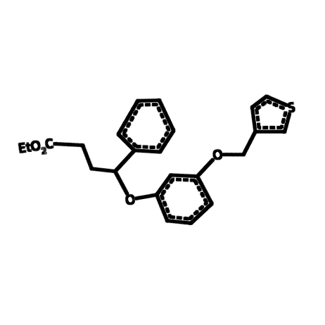 CCOC(=O)CCC(Oc1cccc(OCc2ccsc2)c1)c1ccccc1